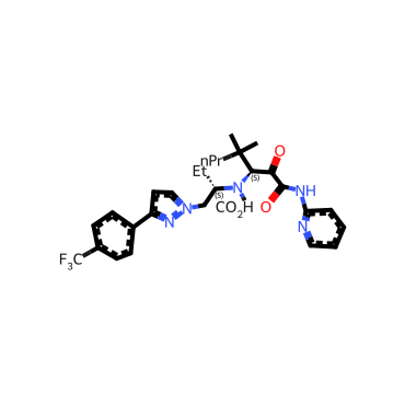 CCCC(C)(C)[C@@H](C(=O)C(=O)Nc1ccccn1)N(C(=O)O)[C@@H](CC)Cn1ccc(-c2ccc(C(F)(F)F)cc2)n1